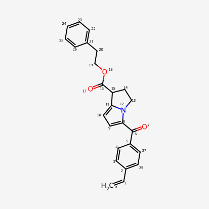 C=Cc1ccc(C(=O)c2ccc3n2CCC3C(=O)OCCc2ccccc2)cc1